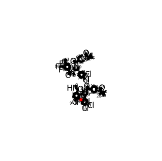 CNC(=O)c1ccc(OC)c(C(F)(F)F)c1C1CN(C(=O)C2CCN(C(=O)C3(C)CC3)CC2)CC1c1ccc(Cl)c(Cl)c1.COc1ccc(C(=O)N(C)[C@@H]2CN(C(=O)C3CCN(C(=O)C4(C)CC4)CC3)C[C@H]2c2ccc(Cl)c(Cl)c2)cc1C(F)(F)F